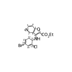 CCOC(=O)c1oc2ccncc2c1NC1CC=C(Br)C=C1Cl